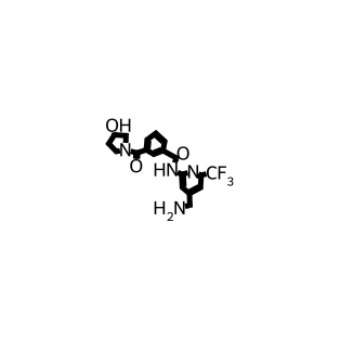 NCc1cc(NC(=O)c2cccc(C(=O)N3CCC(O)C3)c2)nc(C(F)(F)F)c1